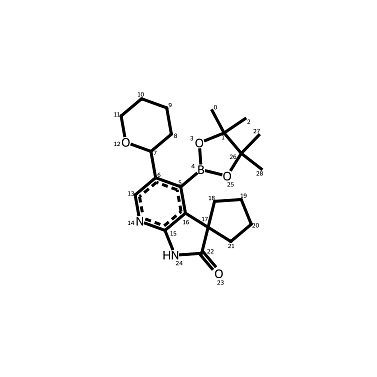 CC1(C)OB(c2c(C3CCCCO3)cnc3c2C2(CCCC2)C(=O)N3)OC1(C)C